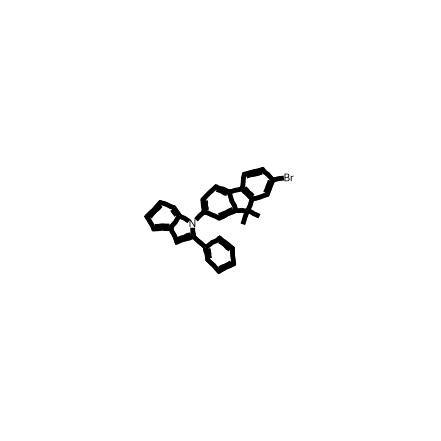 CC1(C)c2cc(Br)ccc2-c2ccc(-n3c(-c4ccccc4)cc4ccccc43)cc21